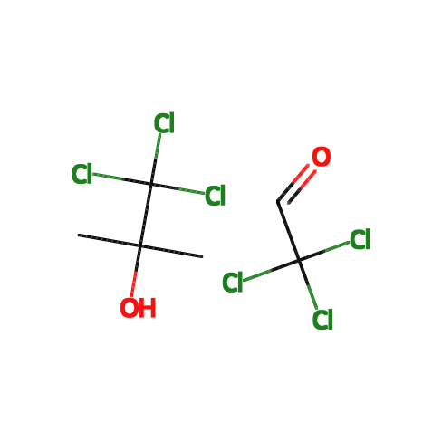 CC(C)(O)C(Cl)(Cl)Cl.O=CC(Cl)(Cl)Cl